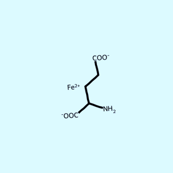 NC(CCC(=O)[O-])C(=O)[O-].[Fe+2]